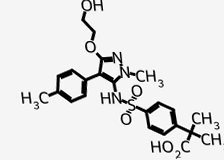 Cc1ccc(-c2c(OCCO)nn(C)c2NS(=O)(=O)c2ccc(C(C)(C)C(=O)O)cc2)cc1